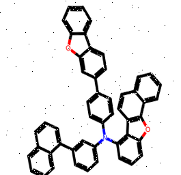 c1cc(-c2cccc3ccccc23)cc(N(c2ccc(-c3ccc4c(c3)oc3ccccc34)cc2)c2cccc3oc4c5ccccc5ccc4c23)c1